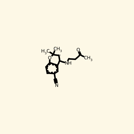 CC(=O)CCNC1[C]C(C)(C)Oc2ccc(C#N)cc21